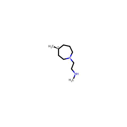 CNCCN1CCC[C@H](C)CC1